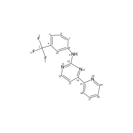 FC(F)(F)c1cccc(Nc2nccc(-c3ccccn3)n2)c1